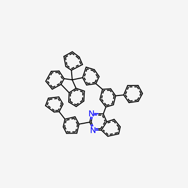 c1ccc(-c2cccc(-c3nc(-c4cc(-c5ccccc5)cc(-c5cccc(C6(c7ccccc7)c7ccccc7-c7ccccc76)c5)c4)c4ccccc4n3)c2)cc1